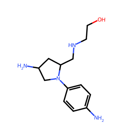 Nc1ccc(N2CC(N)CC2CNCCO)cc1